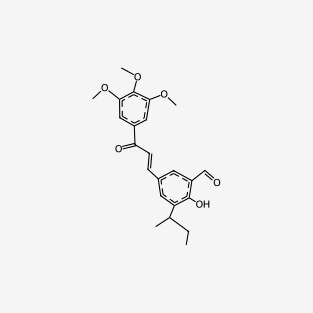 CCC(C)c1cc(/C=C/C(=O)c2cc(OC)c(OC)c(OC)c2)cc(C=O)c1O